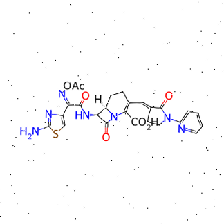 CC(=O)O/N=C(\C(=O)N[C@@H]1C(=O)N2C(C(=O)O)=C(C=C3CCN(c4ccccn4)C3=O)CC[C@H]12)c1csc(N)n1